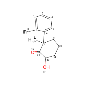 CC(C)c1ccccc1C1(C)CCCC(O)C1=O